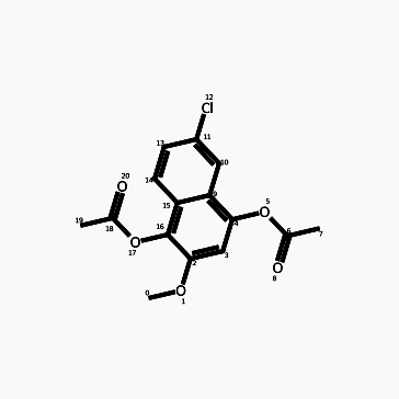 COc1cc(OC(C)=O)c2cc(Cl)ccc2c1OC(C)=O